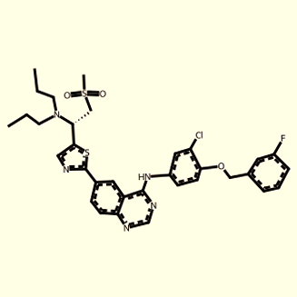 CCCN(CCC)[C@H](CS(C)(=O)=O)c1cnc(-c2ccc3ncnc(Nc4ccc(OCc5cccc(F)c5)c(Cl)c4)c3c2)s1